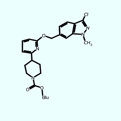 Cn1nc(Cl)c2ccc(COc3cccc(C4CCN(C(=O)OC(C)(C)C)CC4)n3)cc21